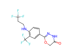 O=C1COC(c2ccc(NCCC(F)(F)F)c(C(F)(F)F)c2)=NN1